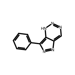 c1ccc(-c2nnc3cnn[nH]c2-3)cc1